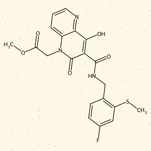 COC(=O)Cn1c(=O)c(C(=O)NCc2ccc(F)cc2SC)c(O)c2ncccc21